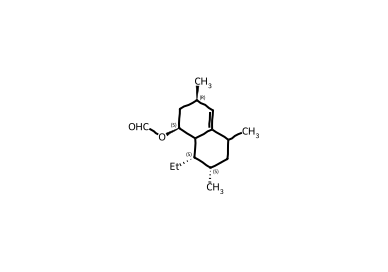 CC[C@@H]1C2C(=C[C@H](C)C[C@@H]2OC=O)C(C)C[C@@H]1C